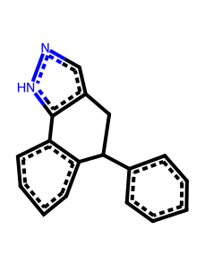 c1ccc(C2Cc3cn[nH]c3-c3ccccc32)cc1